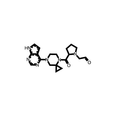 O=CCN1CCCC1C(=O)N1CCN(c2ncnc3[nH]ccc23)CC12CC2